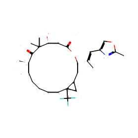 C/C(=C\c1coc(C)n1)[C@@H]1CC2CC2(C(F)(F)F)CCC[C@H](C)[C@H](O)[C@@H](C)C(=O)C(C)(C)[C@@H](O)CC(=O)O1